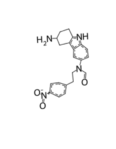 NC1CCc2[nH]c3ccc(N(C=O)CCc4ccc([N+](=O)[O-])cc4)cc3c2C1